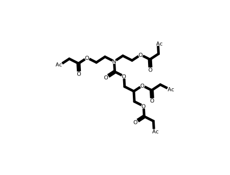 CC(=O)CC(=O)OCCN(CCOC(=O)CC(C)=O)C(=O)OCC(COC(=O)CC(C)=O)OC(=O)CC(C)=O